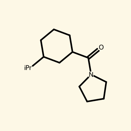 CC(C)C1CCCC(C(=O)N2CCCC2)C1